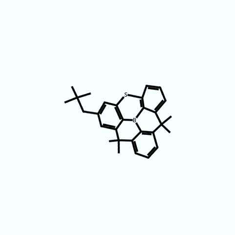 CC(C)(C)Cc1cc2c3c(c1)C(C)(C)c1cccc4c1B3c1c(cccc1C4(C)C)S2